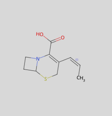 C/C=C\C1=C(C(=O)O)N2CCC2SC1